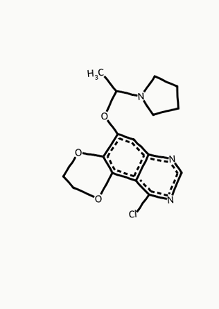 CC(Oc1cc2ncnc(Cl)c2c2c1OCCO2)N1CCCC1